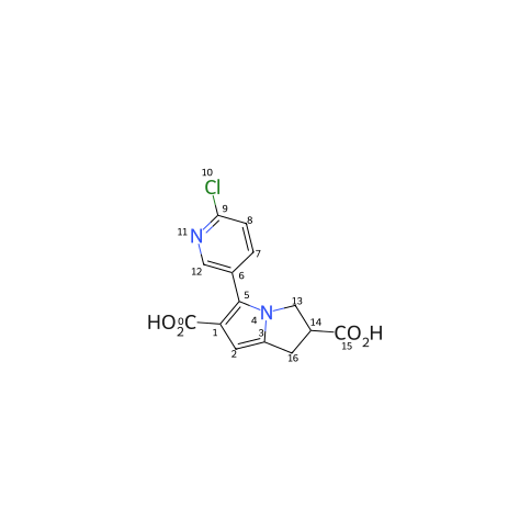 O=C(O)c1cc2n(c1-c1ccc(Cl)nc1)CC(C(=O)O)C2